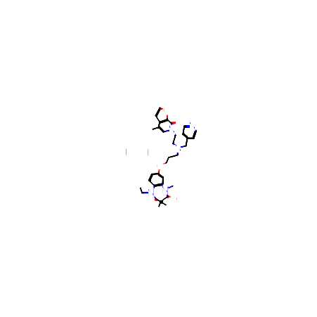 CCN1C(=O)C(C)(C)C(=O)N(C)c2cc(OCCCN(CCn3cc(C)c4ccoc4c3=O)Cc3ccncc3)ccc21.Cl.Cl